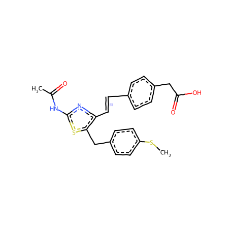 CSc1ccc(Cc2sc(NC(C)=O)nc2/C=C/c2ccc(CC(=O)O)cc2)cc1